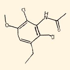 CCc1cc(OC)c(Cl)c(NC(C)=O)c1Cl